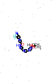 CC(C)(C)OC(=O)N1CCN(CC2CCN(Cc3ccc(NC(=O)C4CCN(c5ccc(C#N)c(C(F)(F)F)c5)CC4)nc3)CC2)CC1